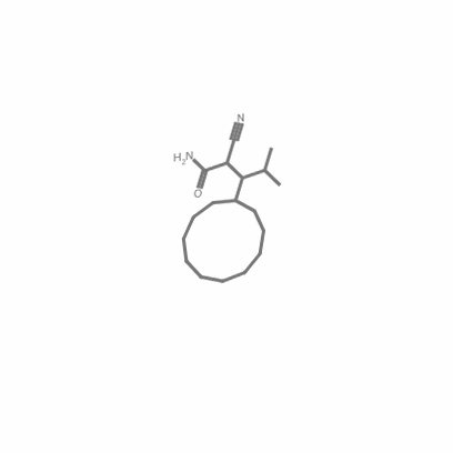 CC(C)C(C1CCCCCCCCCC1)C(C#N)C(N)=O